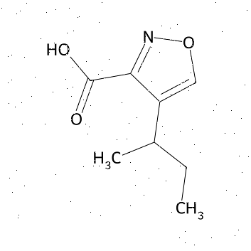 CCC(C)c1conc1C(=O)O